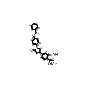 COC(=O)c1ccc(C2CC(=O)N(c3ccc(OCc4ccccc4)cc3)C2)cc1OC